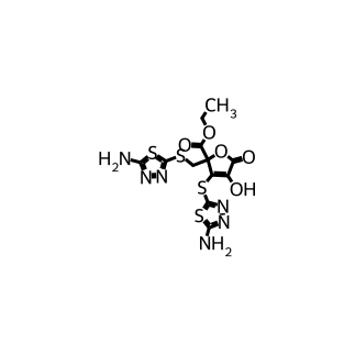 CCOC(=O)C1(CSc2nnc(N)s2)OC(=O)C(O)=C1Sc1nnc(N)s1